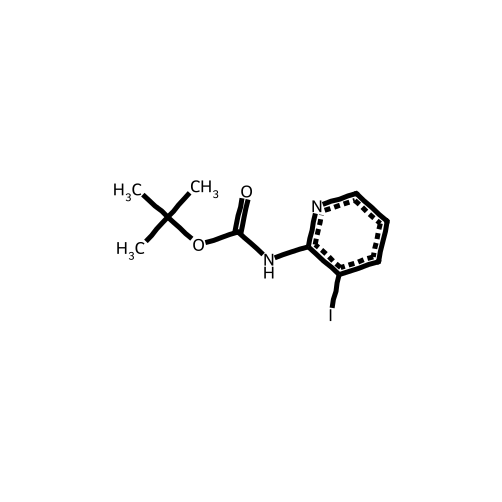 CC(C)(C)OC(=O)Nc1ncccc1I